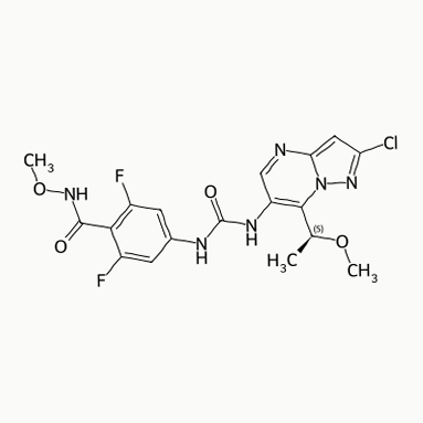 CONC(=O)c1c(F)cc(NC(=O)Nc2cnc3cc(Cl)nn3c2[C@H](C)OC)cc1F